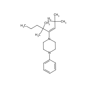 CCCC(C)(C)/C(=C\C(C)(C)C)N1CCN(c2ccccc2)CC1